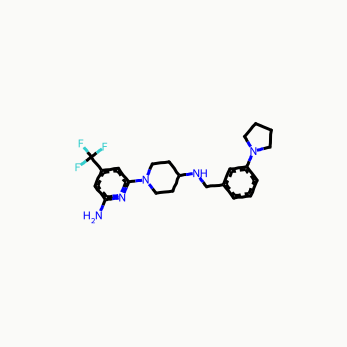 Nc1cc(C(F)(F)F)cc(N2CCC(NCc3cccc(N4CCCC4)c3)CC2)n1